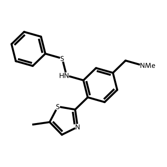 CNCc1ccc(-c2ncc(C)s2)c(NSc2ccccc2)c1